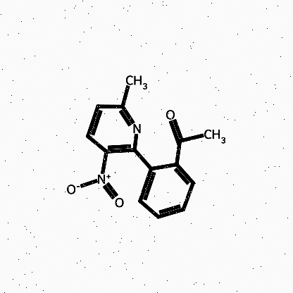 CC(=O)c1ccccc1-c1nc(C)ccc1[N+](=O)[O-]